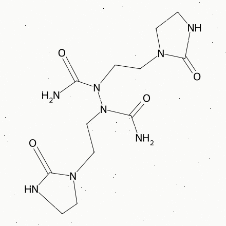 NC(=O)N(CCN1CCNC1=O)N(CCN1CCNC1=O)C(N)=O